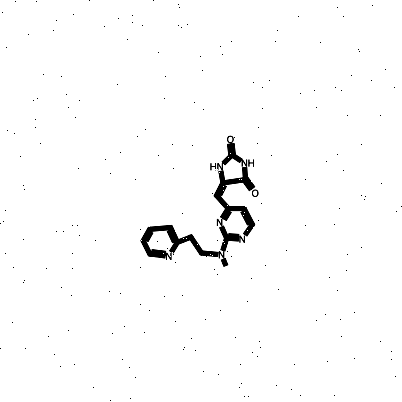 CN(CCc1ccccn1)c1nccc(/C=C2/NC(=O)NC2=O)n1